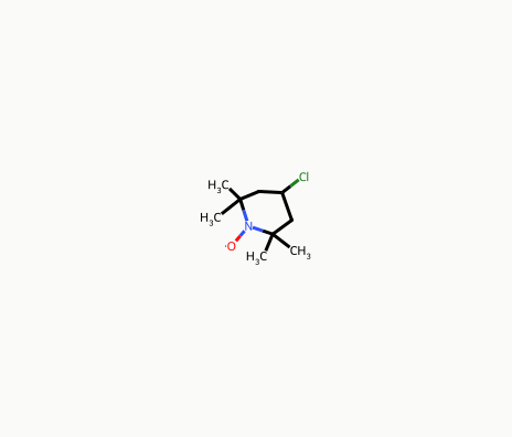 CC1(C)CC(Cl)CC(C)(C)N1[O]